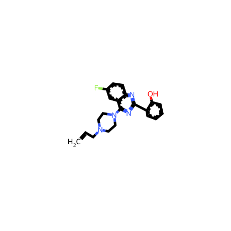 C=CCN1CCN(c2nc(-c3ccccc3O)nc3ccc(F)cc23)CC1